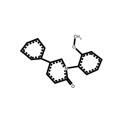 COc1ccccc1-n1cc(-c2ccccc2)ccc1=O